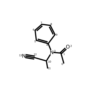 CC(=O)N(c1ccccc1)C(C)C#N